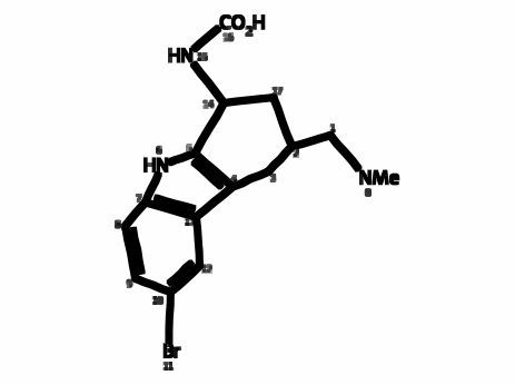 CNCC1Cc2c([nH]c3ccc(Br)cc23)C(NC(=O)O)C1